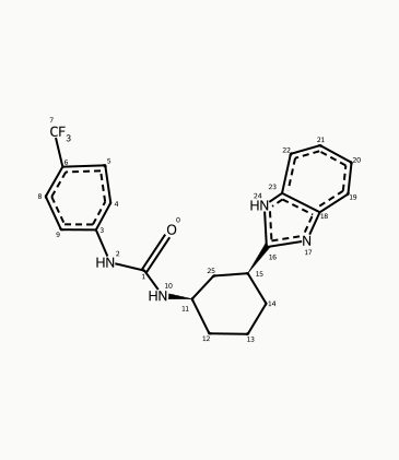 O=C(Nc1ccc(C(F)(F)F)cc1)N[C@@H]1CCC[C@H](c2nc3ccccc3[nH]2)C1